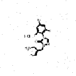 Cl.NC/C(=C\F)Cn1ncn(-c2c(F)cc(Br)cc2F)c1=O